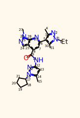 CCn1nc(C)c(-c2cc(C(=O)Nc3cc(C)n(C4CCCC4)n3)c3cnn(C)c3n2)c1C